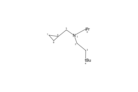 CC(C)N(CCC(C)(C)C)CC1CC1